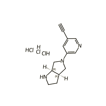 C#Cc1cncc(N2C[C@H]3CCN[C@H]3C2)c1.Cl.Cl.Cl